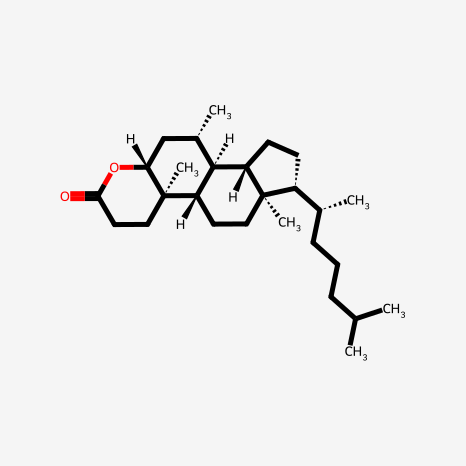 CC(C)CCC[C@@H](C)[C@H]1CC[C@H]2[C@@H]3[C@@H](C)C[C@H]4OC(=O)CC[C@]4(C)[C@H]3CC[C@]12C